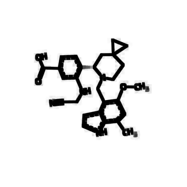 COc1cc(C)c2[nH]ccc2c1CN1CCC2(CC2)C[C@H]1c1ccc(C(=O)O)cc1NCC#N